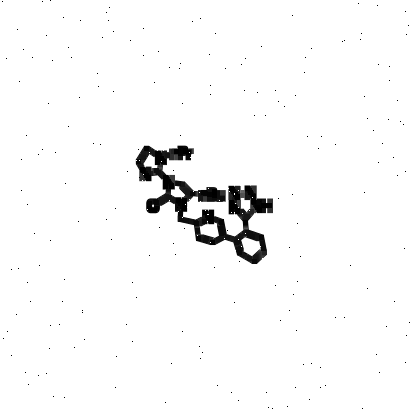 CCCCc1cn(-c2nccn2CCC)c(=O)n1Cc1ccc(-c2ccccc2-c2nnn[nH]2)cn1